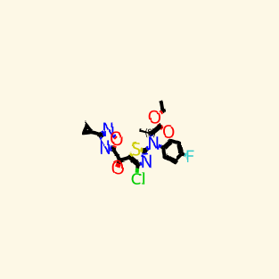 CCOC(=O)[C@H](C)N(c1ccc(F)cc1)c1nc(Cl)c(C(=O)c2nc(C3CC3)no2)s1